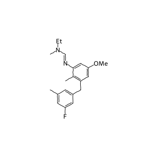 CCN(C)C=Nc1cc(OC)cc(Cc2cc(C)cc(F)c2)c1C